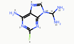 Nc1nc(F)nc2c1ncn2C(N)N